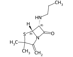 C=C1N2C(=O)[C@@H](NCCC)[C@H]2SC1(C)C